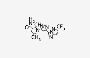 CC1CC(C(N)=O)C(C)N(c2cc(-c3cnc4ccc(C(F)(F)F)nn34)ncn2)C1